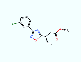 COC(=O)C[C@@H](C)c1nc(-c2cccc(Cl)c2)no1